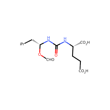 CC(C)C[C@H](NC(=O)N[C@@H](CCC(=O)O)C(=O)O)OC=O